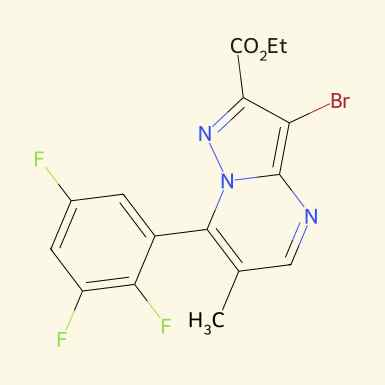 CCOC(=O)c1nn2c(-c3cc(F)cc(F)c3F)c(C)cnc2c1Br